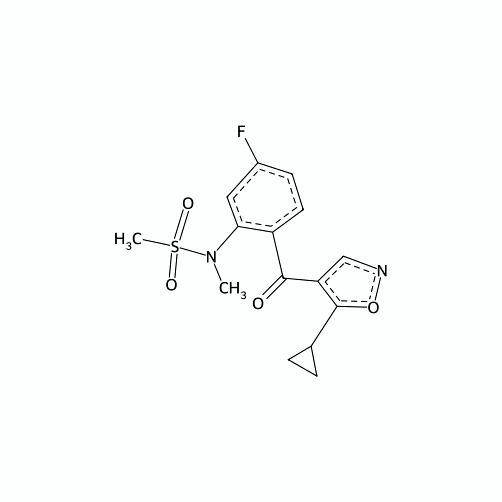 CN(c1cc(F)ccc1C(=O)c1cnoc1C1CC1)S(C)(=O)=O